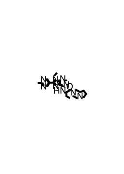 CCC(Nc1ncnc2c1nc(-c1cnc(C)nc1)n2CC)C(=O)N1CCN2CCCC2C1